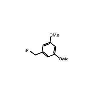 COc1cc(CC(C)C)cc(OC)c1